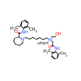 CCCCC[N+](CCO)(CCCCCCCN1CCCCCC1C(=O)Nc1c(C)cccc1C)CC(=O)Nc1c(C)cccc1C